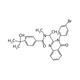 CC(c1nc2ccccc2c(=O)n1-c1ccc(Br)cc1)N(C)C(=O)c1ccc(C(C)(C)C)cc1